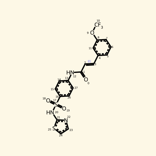 O=C(/C=C/c1cccc(OC(F)(F)F)c1)Nc1ccc(S(=O)(=O)Nc2nccs2)cc1